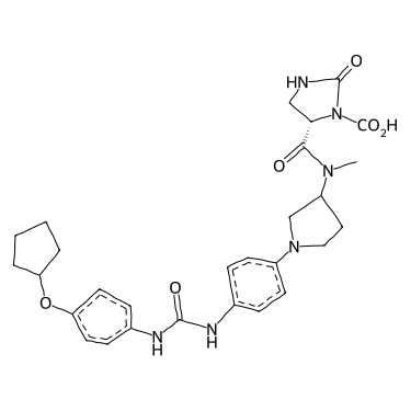 CN(C(=O)[C@@H]1CNC(=O)N1C(=O)O)C1CCN(c2ccc(NC(=O)Nc3ccc(OC4CCCC4)cc3)cc2)C1